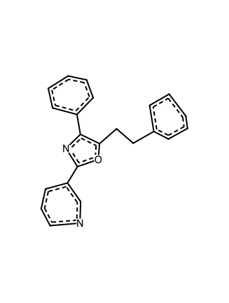 c1ccc(CCc2oc(-c3cccnc3)nc2-c2ccccc2)cc1